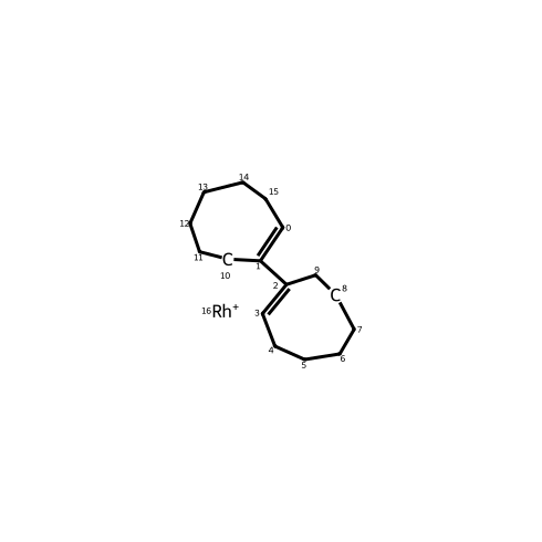 C1=C(C2=CCCCCCC2)CCCCCC1.[Rh+]